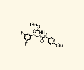 CN(C(=O)[C@H](CCc1cc(F)cc(F)c1)NC(=O)OC(C)(C)C)c1ccc(C(C)(C)C)cc1